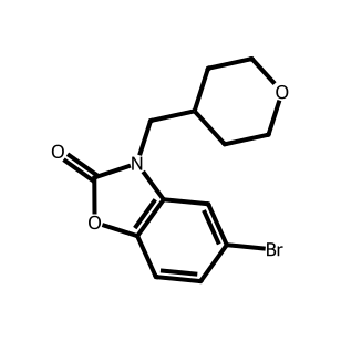 O=c1oc2ccc(Br)cc2n1CC1CCOCC1